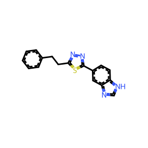 c1ccc(CCc2nnc(-c3ccc4[nH]cnc4c3)s2)cc1